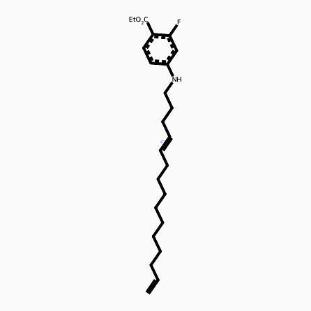 C=CCCCCCCCC/C=C/CCCNc1ccc(C(=O)OCC)c(F)c1